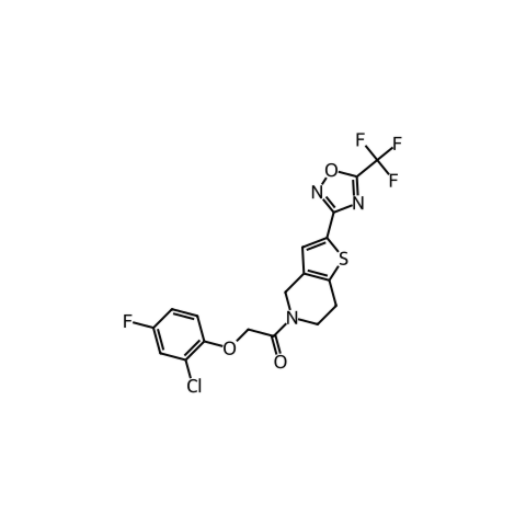 O=C(COc1ccc(F)cc1Cl)N1CCc2sc(-c3noc(C(F)(F)F)n3)cc2C1